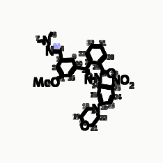 COc1cc(/C=N/N(C)C)cc(-c2nn(-c3cc(N4CCOCC4)ccc3[N+](=O)[O-])c(=O)c3ccccc23)c1